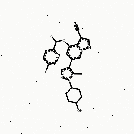 Cc1c(-c2cc(OC(C)c3ccc(F)cn3)c3c(C#N)cnn3c2)cnn1C1CCC(O)CC1